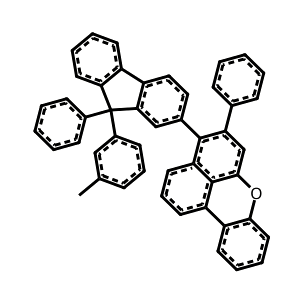 Cc1cccc(C2(c3ccccc3)c3ccccc3-c3ccc(-c4c(-c5ccccc5)cc5c6c(cccc46)-c4ccccc4O5)cc32)c1